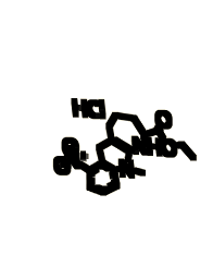 CCOC(=O)C1CCCC2=C(N1)N(C)c1cccc([N+](=O)[O-])c1C2.Cl